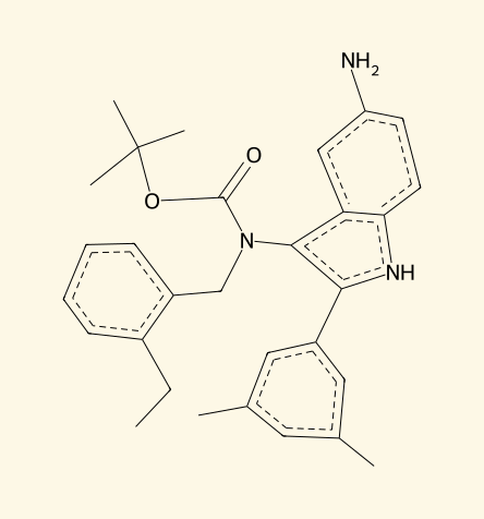 CCc1ccccc1CN(C(=O)OC(C)(C)C)c1c(-c2cc(C)cc(C)c2)[nH]c2ccc(N)cc12